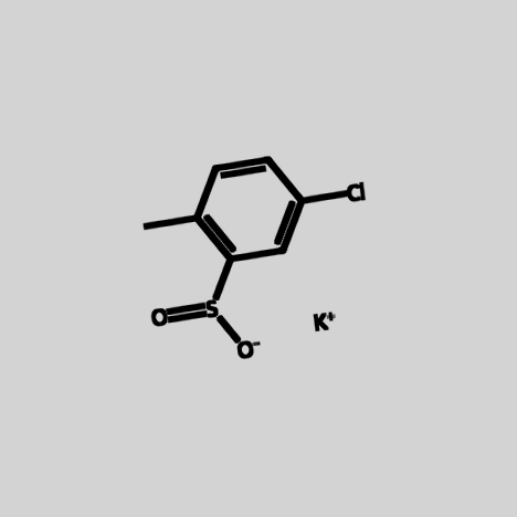 Cc1ccc(Cl)cc1S(=O)[O-].[K+]